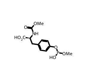 COC(=O)N[C@@H](Cc1ccc(OP(O)OC)cc1)C(=O)O